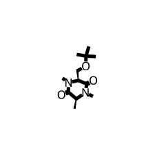 C[C@H]1C(=O)N(C)[C@@H](COC(C)(C)C)C(=O)N1C